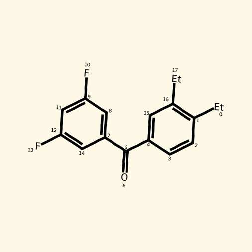 CCc1ccc(C(=O)c2cc(F)cc(F)c2)cc1CC